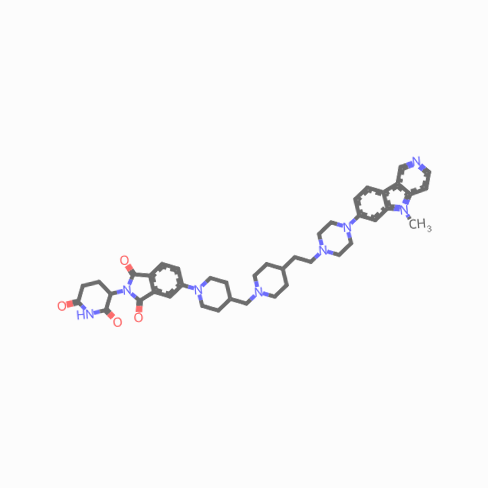 Cn1c2ccncc2c2ccc(N3CCN(CCC4CCN(CC5CCN(c6ccc7c(c6)C(=O)N(C6CCC(=O)NC6=O)C7=O)CC5)CC4)CC3)cc21